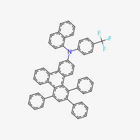 FC(F)(F)c1ccc(N(c2ccc3c(c2)c2ccccc2c2c(-c4ccccc4)cc(-c4ccccc4)c(-c4ccccc4)c32)c2cccc3ccccc23)cc1